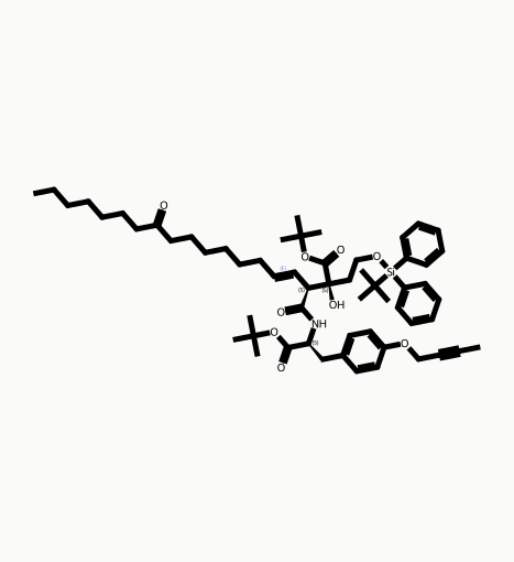 CC#CCOc1ccc(C[C@H](NC(=O)[C@@H](/C=C/CCCCCCC(=O)CCCCCCC)[C@@](O)(CCO[Si](c2ccccc2)(c2ccccc2)C(C)(C)C)C(=O)OC(C)(C)C)C(=O)OC(C)(C)C)cc1